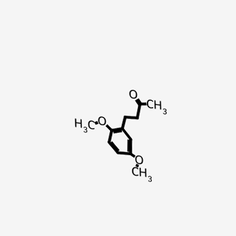 COc1ccc(OC)c(CCC(C)=O)c1